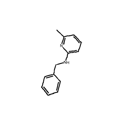 Cc1c[c]cc(NCc2ccccc2)n1